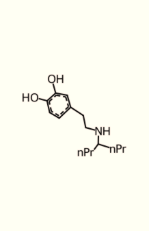 CCCC(CCC)NCCc1ccc(O)c(O)c1